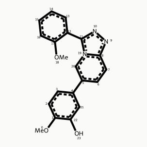 COc1ccc(-c2ccc3nnc(-c4ccccc4OC)n3c2)cc1O